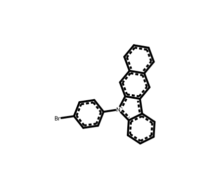 Brc1ccc(-n2c3ccccc3c3cc4ccccc4cc32)cc1